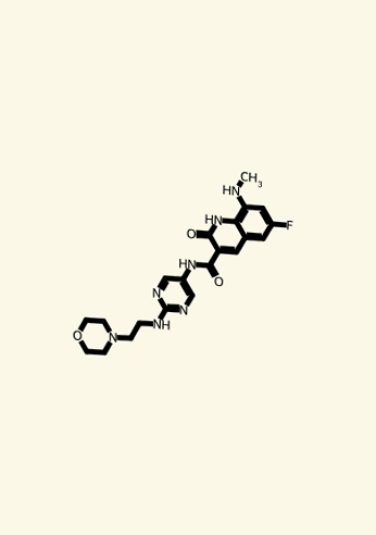 CNc1cc(F)cc2cc(C(=O)Nc3cnc(NCCN4CCOCC4)nc3)c(=O)[nH]c12